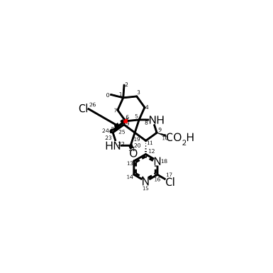 CC1(C)CCC2(CC1)N[C@@H](C(=O)O)[C@H](c1ccnc(Cl)n1)C21C(=O)Nc2cc(Cl)ccc21